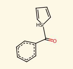 O=C(c1ccccc1)[SiH]1C=CC=C1